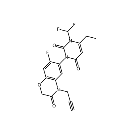 C#CCN1C(=O)COc2cc(F)c(-n3c(=O)cc(CC)n(C(F)F)c3=O)cc21